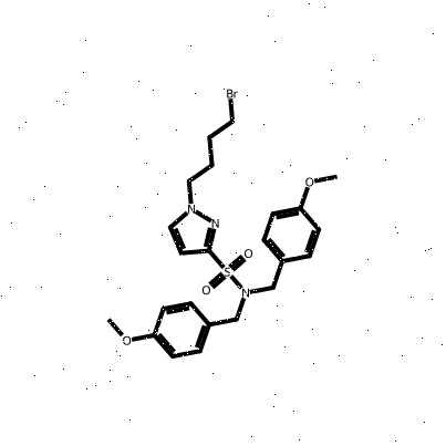 COc1ccc(CN(Cc2ccc(OC)cc2)S(=O)(=O)c2ccn(CCCCBr)n2)cc1